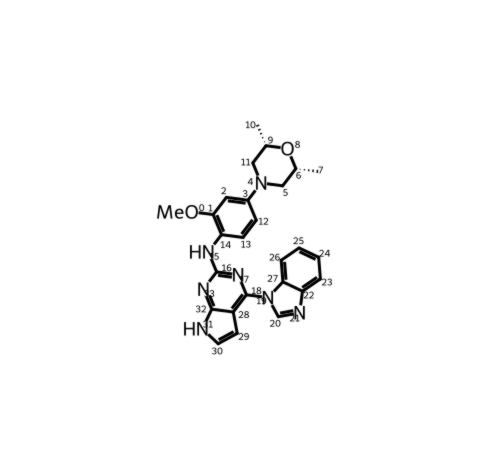 COc1cc(N2C[C@@H](C)O[C@@H](C)C2)ccc1Nc1nc(-n2cnc3ccccc32)c2cc[nH]c2n1